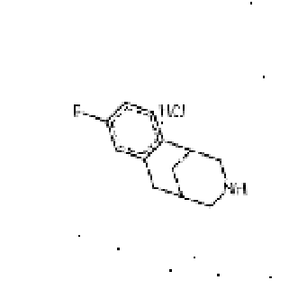 Cl.Fc1ccc2c(c1)CC1CNCC2C1